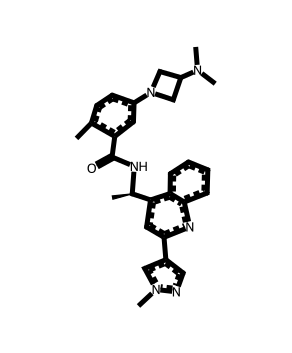 Cc1ccc(N2CC(N(C)C)C2)cc1C(=O)N[C@H](C)c1cc(-c2cnn(C)c2)nc2ccccc12